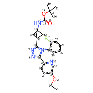 CCOc1ccc(-c2nnc(C34CC(NC(=O)OC(C)(C)C)(C3)C4)n2-c2ccccc2F)nc1